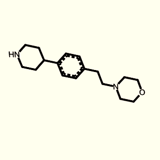 c1cc(C2CCNCC2)ccc1CCN1CCOCC1